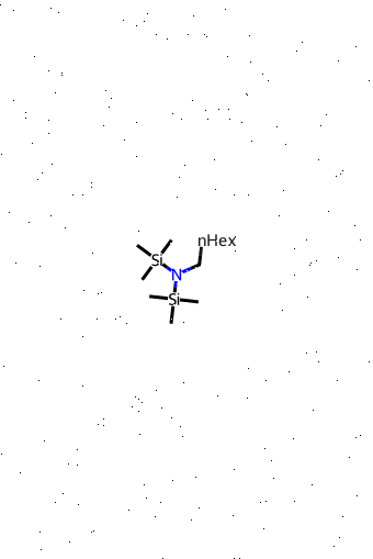 CCCCCCCN([Si](C)(C)C)[Si](C)(C)C